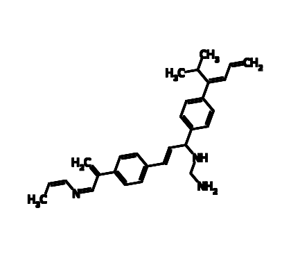 C=C/C=C(/c1ccc(C(/C=C/c2ccc(C(=C)/C=N\C=C/C)cc2)NCN)cc1)C(C)C